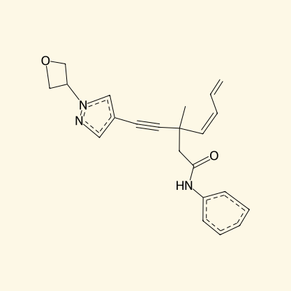 C=C/C=C\C(C)(C#Cc1cnn(C2COC2)c1)CC(=O)Nc1ccccc1